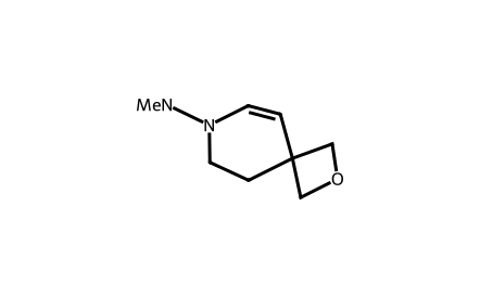 CNN1C=CC2(CC1)COC2